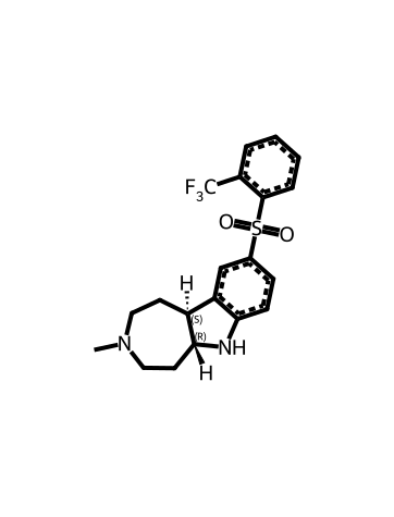 CN1CC[C@H]2Nc3ccc(S(=O)(=O)c4ccccc4C(F)(F)F)cc3[C@@H]2CC1